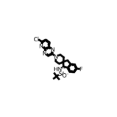 CC(C)(C)[S+]([O-])N[C@@H]1c2ccc(F)cc2CC12CCN(c1cnc3nc(Cl)ccc3n1)CC2